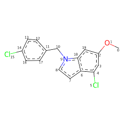 COc1cc(Cl)c2ccn(Cc3ccc(Cl)cc3)c2c1